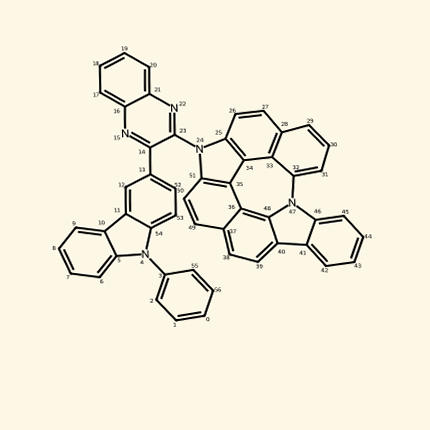 c1ccc(-n2c3ccccc3c3cc(-c4nc5ccccc5nc4-n4c5ccc6cccc7c6c5c5c6c(ccc8c9ccccc9n7c86)ccc54)ccc32)cc1